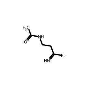 CCC(=N)CCNC(=O)C(F)(F)F